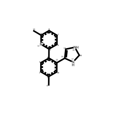 Cc1ccc(-c2cccc(C)n2)c(C2=CNCN2)c1